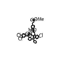 COC(=O)CCc1ccc(S(=O)(=O)CCc2c(CCNS(=O)(=O)Cc3ccc(Cl)c(Cl)c3)n(C(c3ccccc3)c3ccccc3)c3ccc(Cl)cc23)cc1